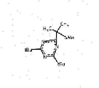 CSC(C)(C)c1nc(C(C)(C)C)nc(C(C)(C)C)n1